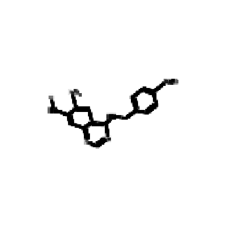 CCNc1cc2ncnc(NCc3ccc(NC)cc3)c2cc1[N+](=O)[O-]